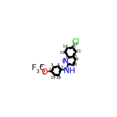 FC(F)(F)Oc1ccc(Nc2ccc3cc(Cl)ccc3n2)cc1